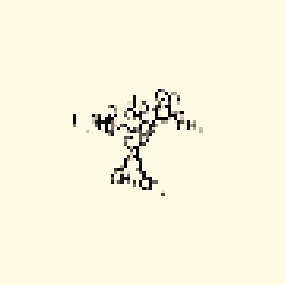 CCCCN(CCCC)C(=O)CN1C[C@H](c2cc(OC)c3c(c2)OCO3)[C@@H](C(=O)O)[C@@H]1CCN1CCN(C)C1=O